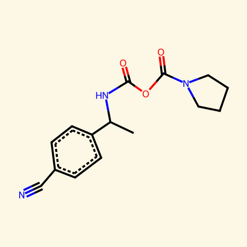 CC(NC(=O)OC(=O)N1CCCC1)c1ccc(C#N)cc1